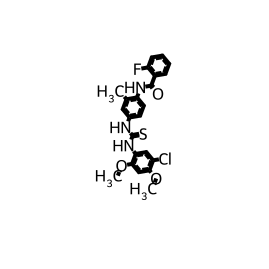 COc1cc(OC)c(NC(=S)Nc2ccc(NC(=O)c3ccccc3F)c(C)c2)cc1Cl